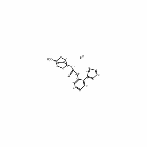 C[N+]12CCC(OC(=O)Nc3ccccc3-c3ccccc3)(CC1)CC2.[Br-]